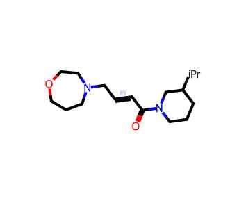 CC(C)C1CCCN(C(=O)/C=C/CN2CCCOCC2)C1